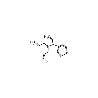 C=CCN(CC=C)C(C=C)c1ccccc1